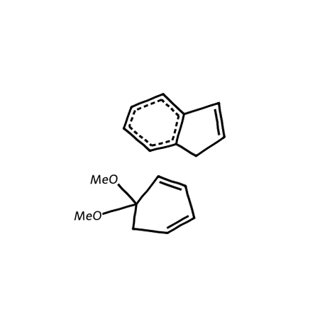 C1=Cc2ccccc2C1.COC1(OC)C=CC=CC1